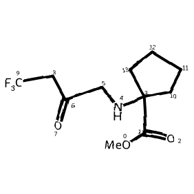 COC(=O)C1(NCC(=O)CC(F)(F)F)CCCC1